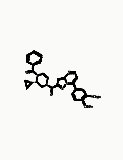 COc1ccc(-c2ccnc3cc(C(=O)N4CCN(C(=O)c5ccccc5)[C@@H](C5CC5)C4)nn23)cc1OC